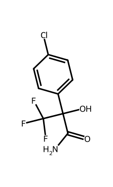 NC(=O)C(O)(c1ccc(Cl)cc1)C(F)(F)F